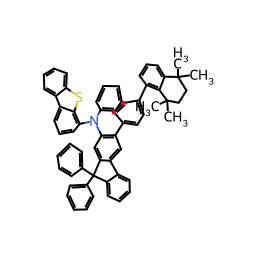 CC1(C)CCC(C)(C)c2c(-c3ccc(-c4cc5c(cc4N(c4ccccc4)c4cccc6c4sc4ccccc46)C(c4ccccc4)(c4ccccc4)c4ccccc4-5)cc3)cccc21